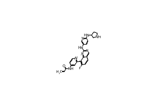 C=CC(=O)Nc1ccnc(-c2c(F)ccc3cnc(Nc4ccc(NC5CCNC5)nc4)nc23)c1